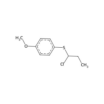 CCC(Cl)Sc1ccc(OC)cc1